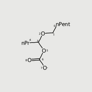 CCCCCCOC(CCC)OC([O])=O